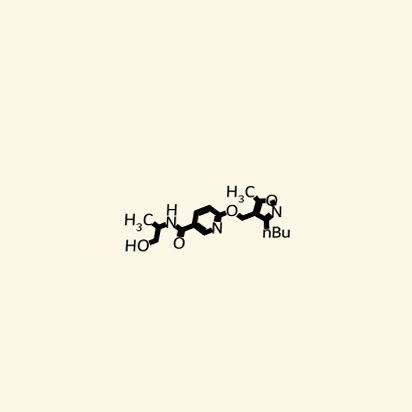 CCCCc1noc(C)c1COc1ccc(C(=O)NC(C)CO)cn1